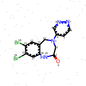 O=C1CN(c2ccnnc2)Cc2cc(Br)c(Br)cc2N1